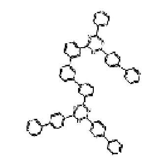 c1ccc(-c2ccc(-c3nc(-c4ccccc4)nc(-c4cccc(-c5cccc(-c6cccc(-c7nc(-c8ccc(-c9ccccc9)cc8)nc(-c8ccc(-c9ccccc9)cc8)n7)c6)c5)c4)n3)cc2)cc1